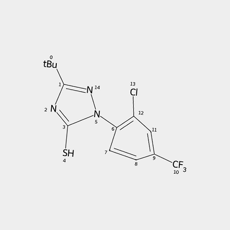 CC(C)(C)c1nc(S)n(-c2ccc(C(F)(F)F)cc2Cl)n1